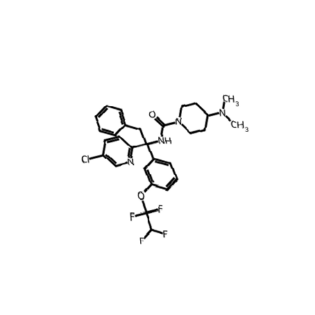 CN(C)C1CCN(C(=O)NC(Cc2ccccc2)(c2cccc(OC(F)(F)C(F)F)c2)c2ccc(Cl)cn2)CC1